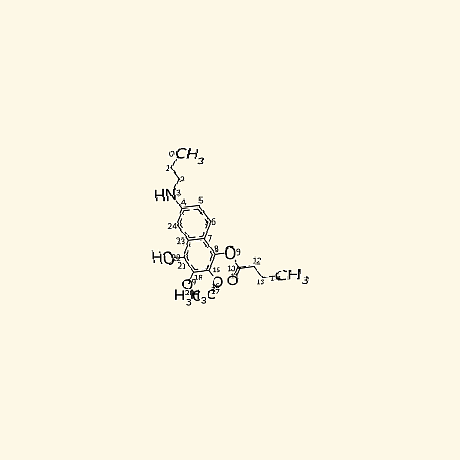 CCCNc1ccc2c(OC(=O)CCC)c(OC)c(OC)c(O)c2c1